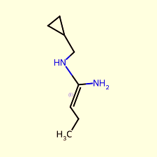 CC/C=C(\N)NCC1CC1